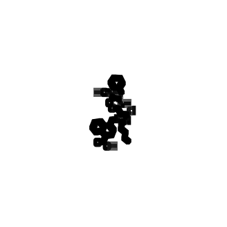 CCCCc1nc(Cl)c(C(=O)N[C@@H](Cc2ccccc2)C(=O)NO)n1Cc1ccc(C(=O)O)c2ccccc12